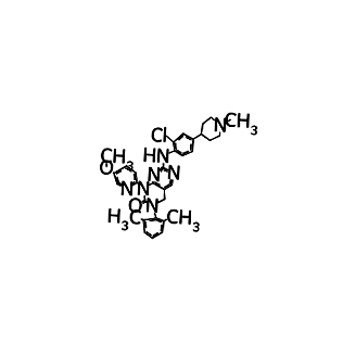 COc1ccc(N2C(=O)N(c3c(C)cccc3C)Cc3cnc(Nc4ccc(C5CCN(C)CC5)cc4Cl)nc32)nc1